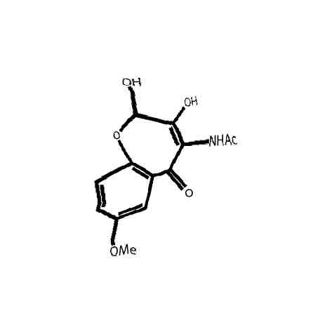 COc1ccc2c(c1)C(=O)C(NC(C)=O)=C(O)C(O)O2